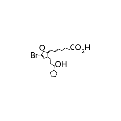 O=C(O)CCCC=CC=C1C(=O)C(Br)=CC1C=CC(O)C1CCCC1